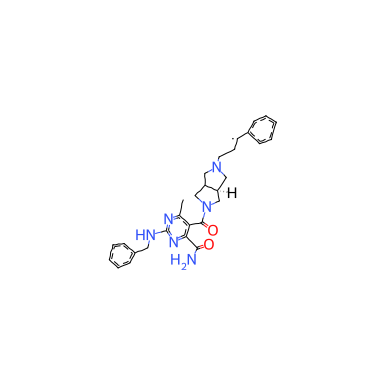 Cc1nc(NCc2ccccc2)nc(C(N)=O)c1C(=O)N1CC2CN(CC[CH]c3ccccc3)C[C@H]2C1